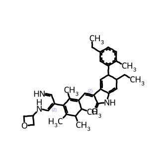 CCc1ccc(C)c(C2C=C3C(=CC2CC)NC(=O)/C3=C\C2=C(C)C(/C(C=N)=C/NC3COC3)=C(C)C(C)C2C)c1